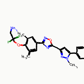 Cc1cc(-c2noc(-c3cc(-c4ccccc4)n(C)n3)n2)cc(C)c1OC(F)(F)CN